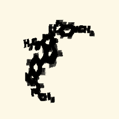 COc1nc(N[C@H]2CCN(C)C[C@H]2F)nn2ccc(-c3ccc4nnn(C[C@H](C)F)c4c3)c12